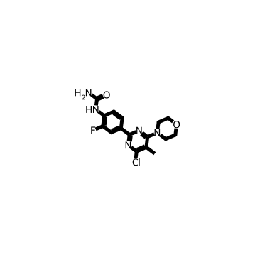 Cc1c(Cl)nc(-c2ccc(NC(N)=O)c(F)c2)nc1N1CCOCC1